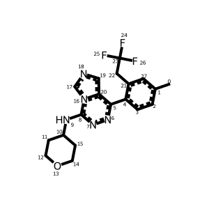 Cc1ccc(-c2nnc(NC3CCOCC3)n3cncc23)c(CC(F)(F)F)c1